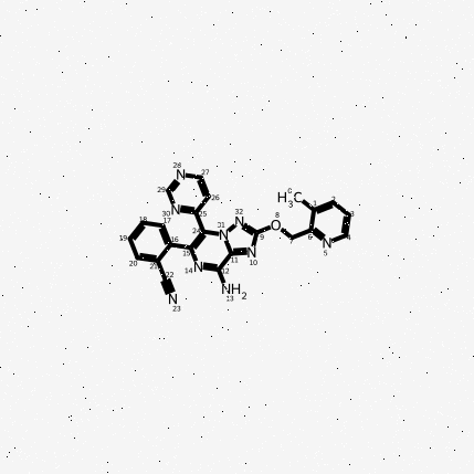 Cc1cccnc1COc1nc2c(N)nc(-c3ccccc3C#N)c(-c3ccncn3)n2n1